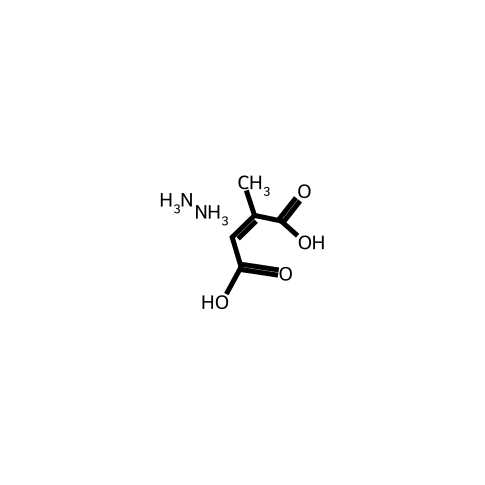 CC(=CC(=O)O)C(=O)O.N.N